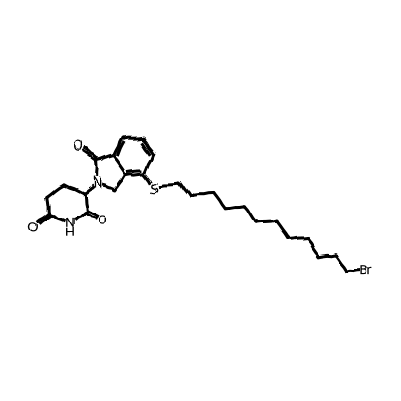 O=C1CCC(N2Cc3c(SCCCCCCCCCCCCBr)cccc3C2=O)C(=O)N1